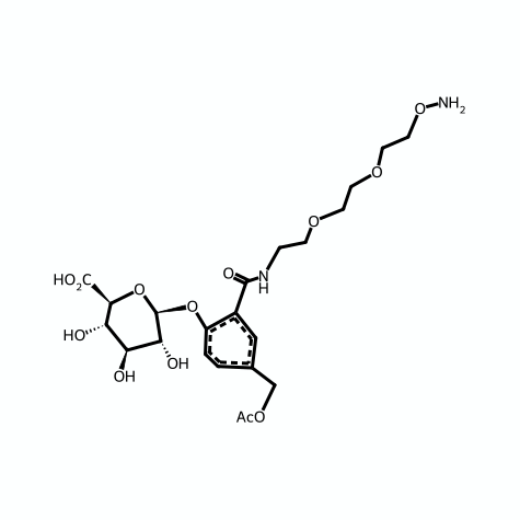 CC(=O)OCc1ccc(O[C@@H]2O[C@H](C(=O)O)[C@@H](O)[C@H](O)[C@H]2O)c(C(=O)NCCOCCOCCON)c1